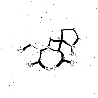 C=C(CC)C1N([C@@H](CO)C(N)=O)CC12CCCN2C